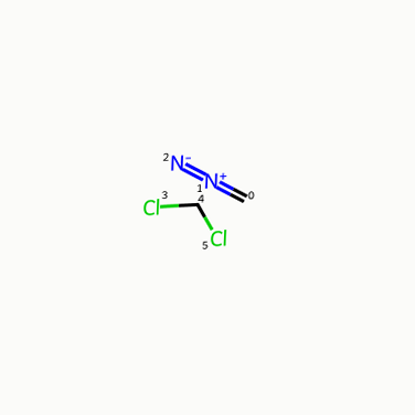 C=[N+]=[N-].ClCCl